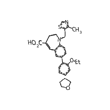 C1CCOC1.CCOc1ccccc1-c1ccc2c(c1)C=C(C(=O)O)CCN2Cc1scnc1C